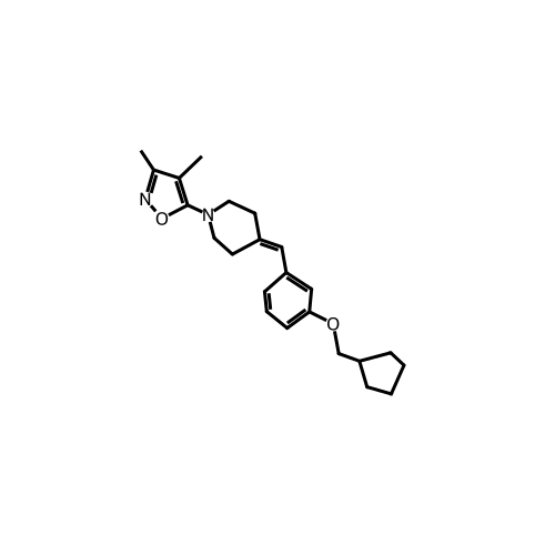 Cc1noc(N2CCC(=Cc3cccc(OCC4CCCC4)c3)CC2)c1C